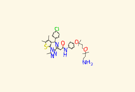 Cc1sc2c(c1C)C(c1ccc(Cl)cc1)=N[C@@H](CC(=O)Nc1ccc(OC(C)(C)CCOC(C)(C)CCN)cc1)c1nnc(C)n1-2